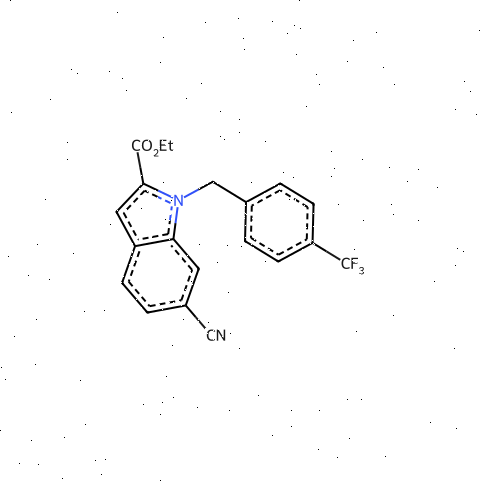 CCOC(=O)c1cc2ccc(C#N)cc2n1Cc1ccc(C(F)(F)F)cc1